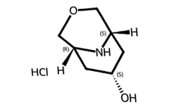 Cl.O[C@H]1C[C@H]2COC[C@@H](C1)N2